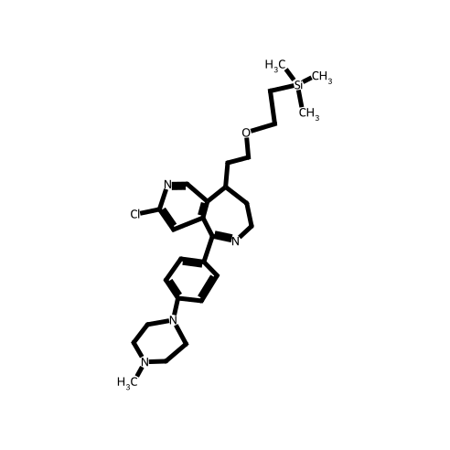 CN1CCN(c2ccc(C3=NCCC(CCOCC[Si](C)(C)C)c4cnc(Cl)cc43)cc2)CC1